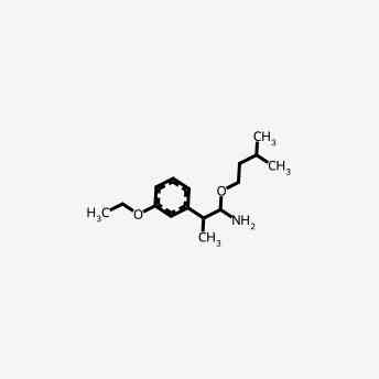 CCOc1cccc(C(C)C(N)OCCC(C)C)c1